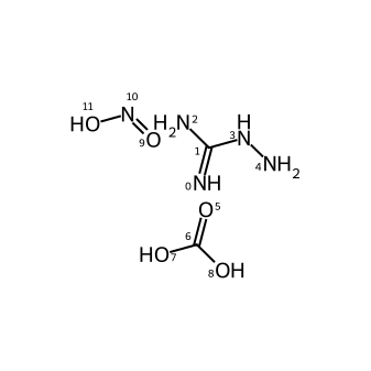 N=C(N)NN.O=C(O)O.O=NO